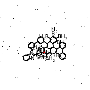 Bc1c(B)c(B)c2c(-c3cc4ccccc4c4ccccc34)c3c(B)c(B)c(B)c(B)c3c(-c3cccc(-c4cccc(-n5c(C(B)(B)C(B)(B)B)nc6ccccc65)c4)c3)c2c1B